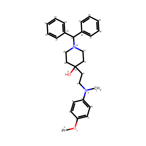 CC(C)Oc1ccc(N(C)CCC2(O)CCN(C(c3ccccc3)c3ccccc3)CC2)cc1